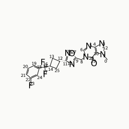 Cn1cnc2ncn(Cc3nc([C@H]4C[C@H](C(F)(F)c5cccc(F)c5)C4)no3)c(=O)c21